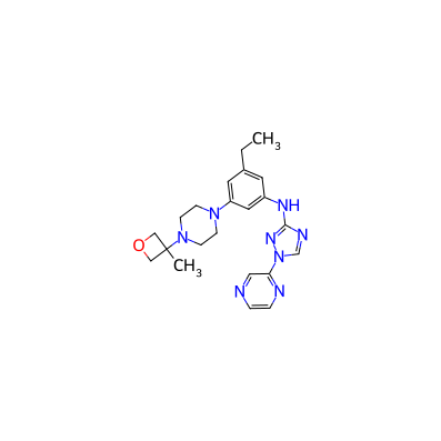 CCc1cc(Nc2ncn(-c3cnccn3)n2)cc(N2CCN(C3(C)COC3)CC2)c1